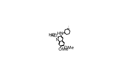 COc1cc2cc(N[C@H]3CCC[C@@H](C)C3)cnc2cc1OC.Cl.Cl